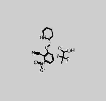 N#Cc1c(OC[C@H]2CCCCN2)cccc1[N+](=O)[O-].O=C(O)C(F)(F)F